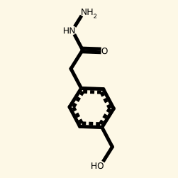 NNC(=O)Cc1ccc(CO)cc1